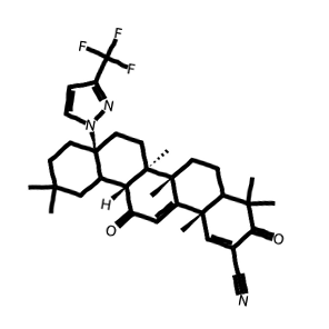 CC1(C)CC[C@]2(n3ccc(C(F)(F)F)n3)CC[C@]3(C)[C@H](C(=O)C=C4[C@@]5(C)C=C(C#N)C(=O)C(C)(C)C5CC[C@]43C)C2C1